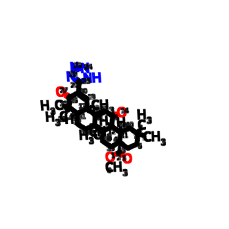 COC(=O)[C@]12CCC(C)(C)C[C@H]1[C@H]1C(=O)C=C3[C@@]4(C)C=C(c5nnn[nH]5)C(=O)C(C)(C)[C@@H]4CC[C@@]3(C)[C@]1(C)CC2